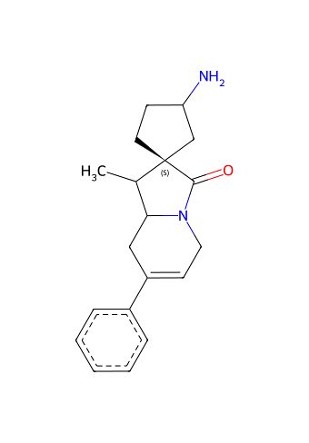 CC1C2CC(c3ccccc3)=CCN2C(=O)[C@]12CCC(N)C2